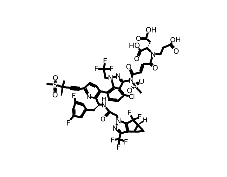 CC(C)(C#Cc1ccc(-c2ccc(Cl)c3c(N(C(=O)/C=C/C(=O)N(CCC(=O)O)[C@@H](CC(=O)O)C(=O)O)S(C)(=O)=O)nn(CC(F)(F)F)c23)c([C@H](Cc2cc(F)cc(F)c2)NC(=O)Cn2nc(C(F)(F)F)c3c2C(F)(F)[C@@H]2CC32)n1)S(C)(=O)=O